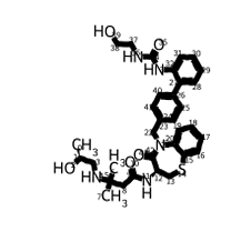 C[C@@H](O)CNC(C)(C)CC(=O)N[C@@H]1CSc2ccccc2N(Cc2ccc(-c3ccccc3NC(=O)NCCO)cc2)C1=O